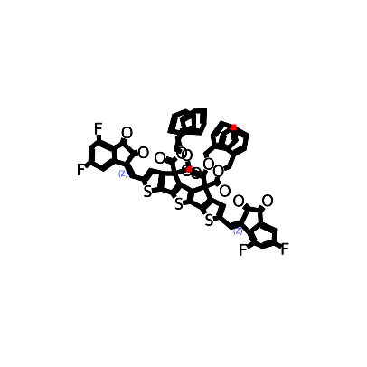 O=C1C(=O)c2c(F)cc(F)cc2/C1=C/c1cc2c(s1)-c1sc3c(c1C2(C(=O)OCc1ccccc1)C(=O)OCc1ccccc1)C(C(=O)OCc1ccccc1)(C(=O)OCc1ccccc1)c1cc(/C=C2\C(=O)C(=O)c4cc(F)cc(F)c42)sc1-3